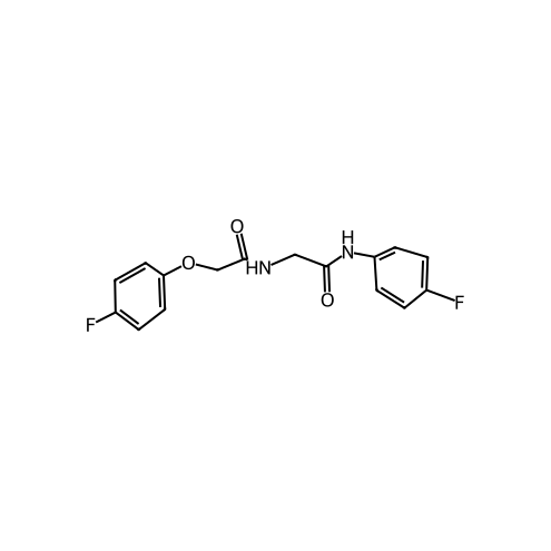 O=C(COc1ccc(F)cc1)NCC(=O)Nc1ccc(F)cc1